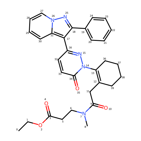 CCOC(=O)CCN(C)C(=O)CC1=C(n2nc(-c3c(-c4ccccc4)nn4ccccc34)ccc2=O)CCCC1